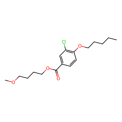 CCCCCOc1ccc(C(=O)OCCCCOC)cc1Cl